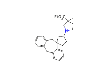 CCOC(=O)C12CC1CN(C1CCC3(Cc4ccccc4Cc4ccccc43)C1)C2